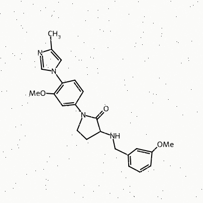 COc1cccc(CNC2CCN(c3ccc(-n4cnc(C)c4)c(OC)c3)C2=O)c1